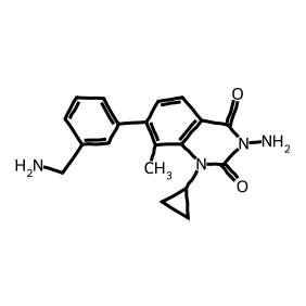 Cc1c(-c2cccc(CN)c2)ccc2c(=O)n(N)c(=O)n(C3CC3)c12